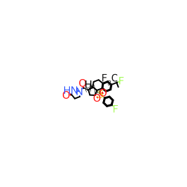 CC(F)(c1ccc2c(c1)CC[C@H]1[C@H](C(=O)N3CCC(=O)N3)CC[C@@]21S(=O)(=O)c1ccc(F)cc1)C(F)(F)F